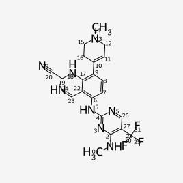 CNc1nc(Nc2ccc(C3=CCN(C)CC3)c(NCC#N)c2C=N)ncc1C(F)(F)F